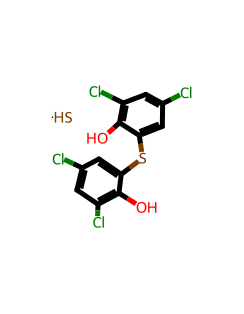 Oc1c(Cl)cc(Cl)cc1Sc1cc(Cl)cc(Cl)c1O.[SH]